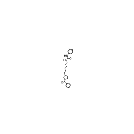 O=C(NCCCCCCC1CCN(C(=O)c2ccccc2)C1)Nc1ccnc(F)c1